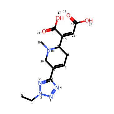 CCn1nnc(C2=CCC(C(=CC(=O)O)C(=O)O)N(C)C2)n1